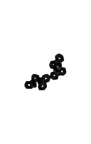 c1ccc2c(c1)sc1c(-n3c4ccccc4c4cc(-c5ccc6c7ccccc7n(-c7cccc8c7sc7ccccc78)c6c5)ccc43)cccc12